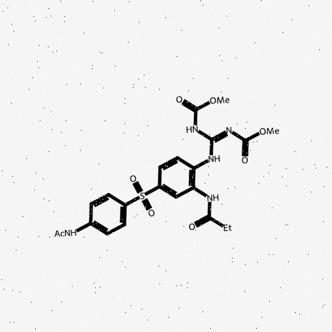 CCC(=O)Nc1cc(S(=O)(=O)c2ccc(NC(C)=O)cc2)ccc1NC(=NC(=O)OC)NC(=O)OC